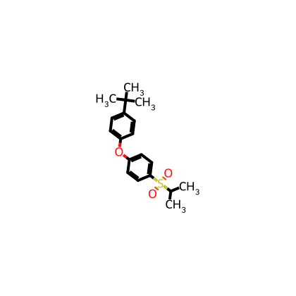 CC(C)S(=O)(=O)c1ccc(Oc2ccc(C(C)(C)C)cc2)cc1